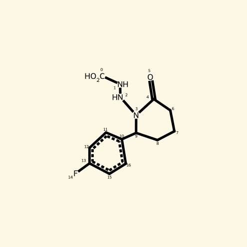 O=C(O)NNN1C(=O)CCCC1c1ccc(F)cc1